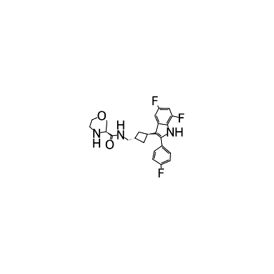 O=C(NC[C@H]1C[C@H](c2c(-c3ccc(F)cc3)[nH]c3c(F)cc(F)cc32)C1)[C@@H]1COCCN1